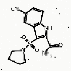 [C-]#[N+]c1ccc2[nH]c(C(N)=O)c(S(=O)(=O)N3CCCC3)c2c1